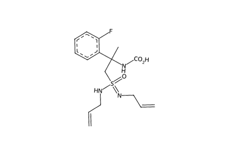 C=CCN=S(=O)(CC(C)(NC(=O)O)c1ccccc1F)NCC=C